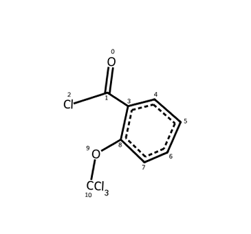 O=C(Cl)c1ccccc1OC(Cl)(Cl)Cl